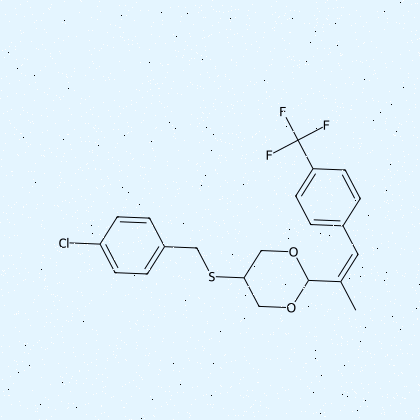 CC(=Cc1ccc(C(F)(F)F)cc1)C1OCC(SCc2ccc(Cl)cc2)CO1